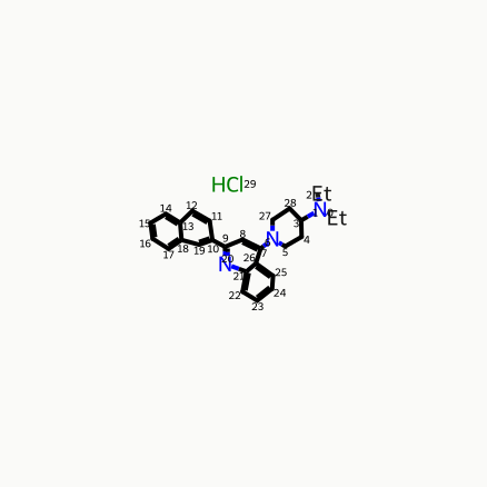 CCN(CC)C1CCN(c2cc(-c3ccc4ccccc4c3)nc3ccccc23)CC1.Cl